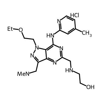 CCOCCn1nc(CNC)c2nc(CNCCO)nc(Nc3cc(C)ccn3)c21.Cl